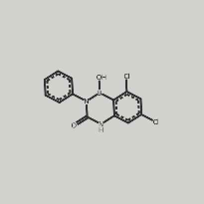 O=C1Nc2cc(Cl)cc(Cl)c2B(O)N1c1ccccc1